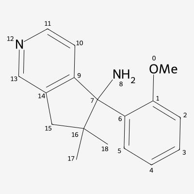 COc1ccccc1C1(N)c2ccncc2CC1(C)C